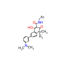 CC(=O)CNC(=O)C1=C(O)c2cc(-c3cccc(N(C)C)c3)ccc2C(C)(C)C1=O